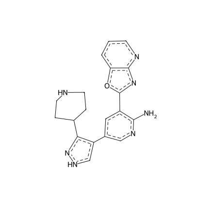 Nc1ncc(-c2c[nH]nc2C2CCNCC2)cc1-c1nc2ncccc2o1